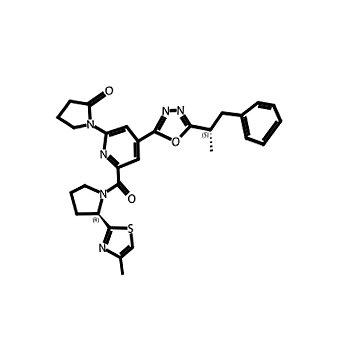 Cc1csc([C@H]2CCCN2C(=O)c2cc(-c3nnc([C@@H](C)Cc4ccccc4)o3)cc(N3CCCC3=O)n2)n1